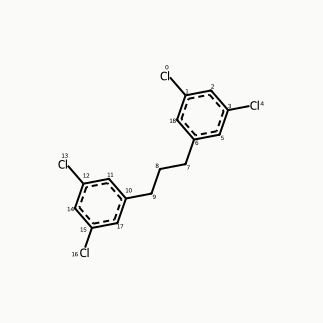 Clc1cc(Cl)cc(CCCc2cc(Cl)cc(Cl)c2)c1